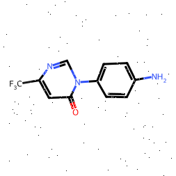 Nc1ccc(-n2cnc(C(F)(F)F)cc2=O)cc1